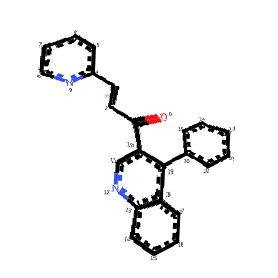 O=C(/C=C/c1ccccn1)c1cnc2ccccc2c1-c1ccccc1